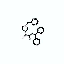 CN(C(=O)CC(c1ccccc1)c1ccccc1)[C@@H]1CCN(Cc2ccccc2)C1